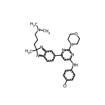 CN(C)CCCC1(C)N=c2ccc(-c3cc(Nc4ccc(Cl)cc4)nc(N4CCOCC4)n3)cc2=N1